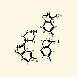 Cc1ccc2onc(Cl)c2c1.Cc1ccc2onc(N3CCNCC3)c2c1.Cc1ccc2onc(O)c2c1